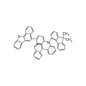 CC1(C)c2ccccc2-c2c(N(c3ccc(-c4cc5c6ccccc6sc5c5ccccc45)cc3)c3ccccc3-c3cccc4ccccc34)cccc21